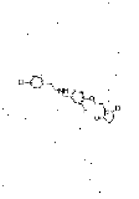 O=C1CCC(=O)N1CCOc1ccc(CNCCc2ccc(Cl)cc2)cc1F